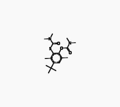 Cc1cc(C(C)(C)C)c(C)c(SC(=O)N(C)C)c1OC(=O)N(C)C